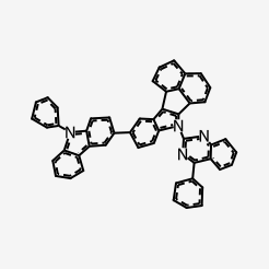 c1ccc(-c2nc(-n3c4c(c5cc(-c6ccc7c(c6)c6ccccc6n7-c6ccccc6)ccc53)-c3cccc5cccc-4c35)nc3ccccc23)cc1